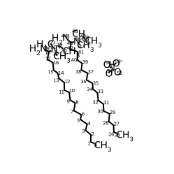 CCCCCCCCCCCCCCCCCCC(N)[N+](C)(C)CC.CCCCCCCCCCCCCCCCCCC(N)[N+](C)(C)CC.O=S(=O)([O-])[O-]